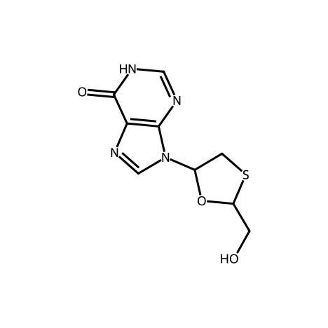 O=c1[nH]cnc2c1ncn2C1CSC(CO)O1